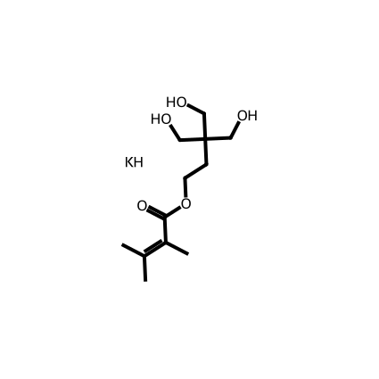 CC(C)=C(C)C(=O)OCCC(CO)(CO)CO.[KH]